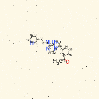 CC(=O)C1=CC(c2cnc3c(NCCc4cccnc4)nccn23)=CCC1